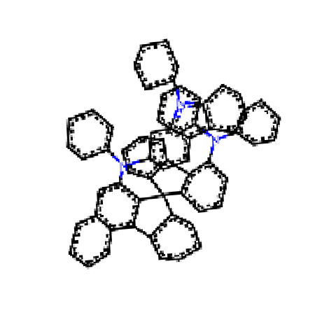 c1ccc(N(c2ccccc2)c2cccc3c2-c2ccccc2C32c3ccccc3-c3c2c(N(c2ccccc2)c2ccc4c5ccccc5n(-c5ccccc5)c4c2)cc2ccccc32)cc1